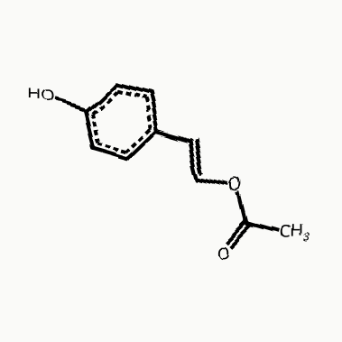 CC(=O)OC=Cc1ccc(O)cc1